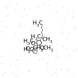 CCCCCCC(C)(C)c1cc(OC)c(C2C=C(C=O)C3CC2C3(C)C)c(OC)c1